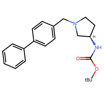 CC(C)(C)OC(=O)N[C@@H]1CCN(Cc2ccc(-c3ccccc3)cc2)C1